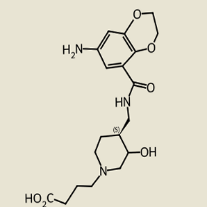 Nc1cc2c(c(C(=O)NC[C@@H]3CCN(CCCC(=O)O)CC3O)c1)OCCO2